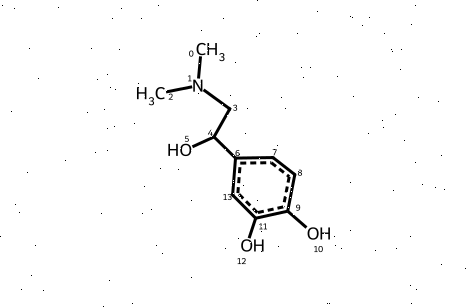 CN(C)CC(O)c1ccc(O)c(O)c1